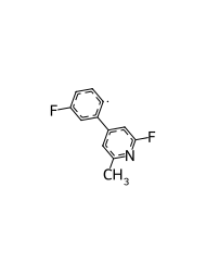 Cc1cc(-c2[c]ccc(F)c2)cc(F)n1